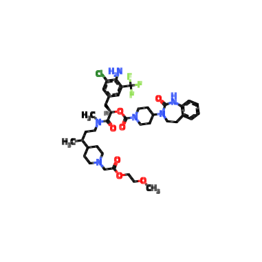 COCCOC(=O)CN1CCC(C(C)CCN(C)C(=O)[C@@H](Cc2cc(Cl)c(N)c(C(F)(F)F)c2)OC(=O)N2CCC(N3CCc4ccccc4NC3=O)CC2)CC1